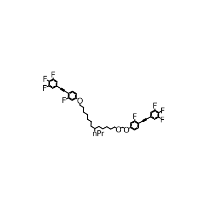 CCCC(CCCCCCCOc1ccc(C#Cc2cc(F)c(F)c(F)c2)c(F)c1)CCCCCOCOc1ccc(C#Cc2cc(F)c(F)c(F)c2)c(F)c1